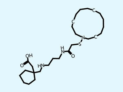 O=C(O)CC1(CNCCCNC(=O)CSN2CCCCCCCCCCCCC2)CCCCC1